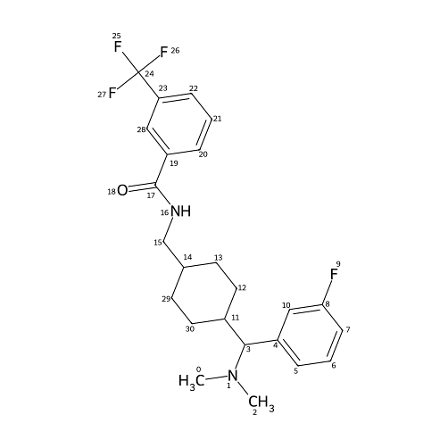 CN(C)C(c1cccc(F)c1)C1CCC(CNC(=O)c2cccc(C(F)(F)F)c2)CC1